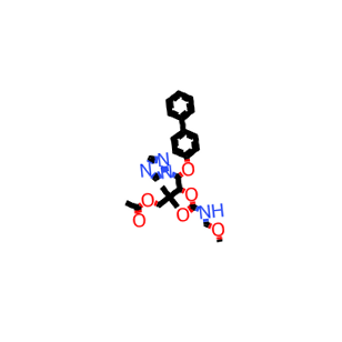 COCNC(=O)OC(C(Oc1ccc(-c2ccccc2)cc1)n1cncn1)C(C)(C)COC(C)=O